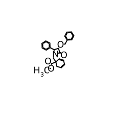 COC(=O)C1(CN2C(=O)C(OCc3ccccc3)C2c2ccccc2)C=CC=CC1